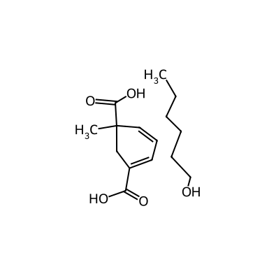 CC1(C(=O)O)C=CC=C(C(=O)O)C1.CCCCCCO